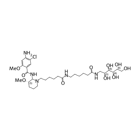 COc1cc(N)c(Cl)cc1C(=O)NC1[C@@H](OC)CCCN1CCCCCC(=O)NCCCCCC(=O)NC[C@H](O)[C@@H](O)[C@H](O)[C@H](O)CO